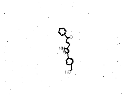 O=C(/C=C/c1cc(-c2ccc(CO)cc2)n[nH]1)c1ccccc1